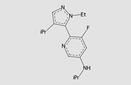 CCn1ncc(C(C)C)c1-c1ncc(NC(C)C)cc1F